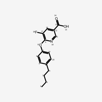 CCCCc1ccc(Oc2ncc(C(=O)O)cc2F)cc1